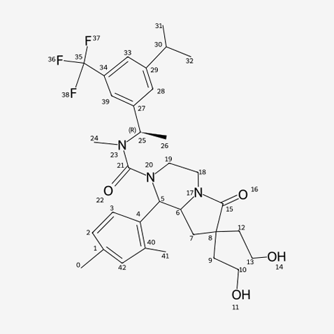 Cc1ccc(C2C3CC(CCO)(CCO)C(=O)N3CCN2C(=O)N(C)[C@H](C)c2cc(C(C)C)cc(C(F)(F)F)c2)c(C)c1